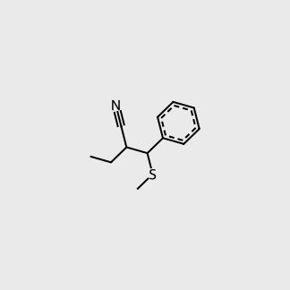 CCC(C#N)C(SC)c1ccccc1